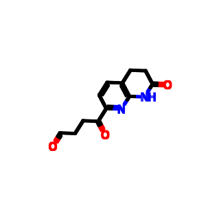 O=CCCC(=O)c1ccc2c(n1)NC(=O)CC2